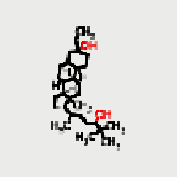 CC[C@]1(O)CC[C@H]2C(=CC[C@@H]3[C@@H]2CC[C@]2(C)[C@@H]([C@H](C)CCC(O)C(C)(C)C)CC[C@@H]32)C1